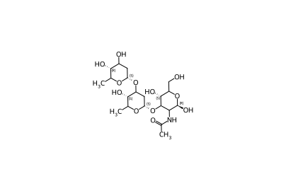 CC(=O)NC1C(O[C@H]2CC(O[C@H]3CC(O)[C@@H](O)C(C)O3)[C@@H](O)C(C)O2)[C@H](O)C(CO)O[C@H]1O